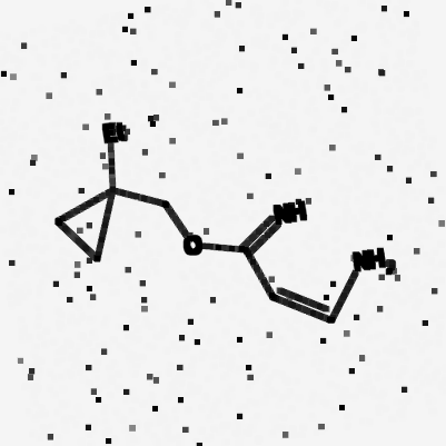 CCC1(COC(=N)/C=C\N)CC1